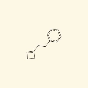 C1=C(CCc2ccccc2)CC1